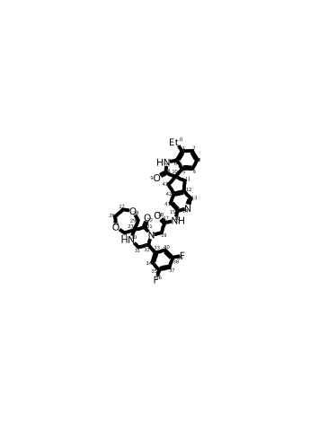 CCc1cccc2c1NC(=O)C21Cc2cnc(NC(=O)CN3C(=O)C4(COCCOC4)NCC3c3cc(F)cc(F)c3)cc2C1